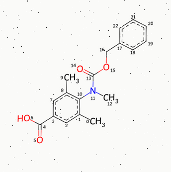 Cc1cc(C(=O)O)cc(C)c1N(C)C(=O)OCc1ccccc1